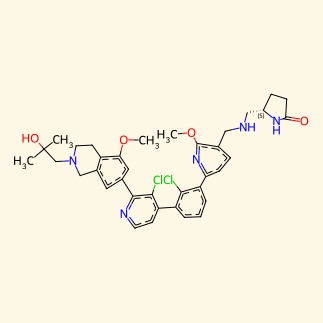 COc1cc(-c2nccc(-c3cccc(-c4ccc(CNC[C@@H]5CCC(=O)N5)c(OC)n4)c3Cl)c2Cl)cc2c1CCN(CC(C)(C)O)C2